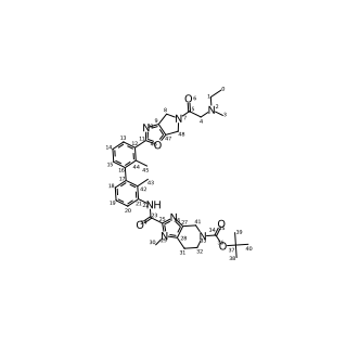 CCN(C)CC(=O)N1Cc2nc(-c3cccc(-c4cccc(NC(=O)c5nc6c(n5C)CCN(C(=O)OC(C)(C)C)C6)c4C)c3C)oc2C1